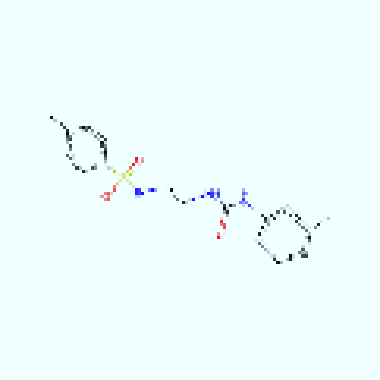 Cc1ccc(S(=O)(=O)NCCNC(=O)Nc2cccc(C)c2)cc1